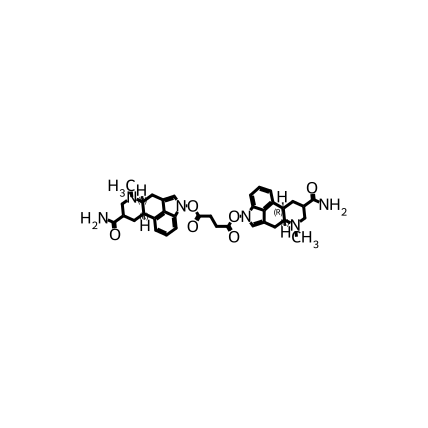 CN1CC(C(N)=O)C[C@@H]2c3cccc4c3c(cn4OC(=O)CCC(=O)On3cc4c5c(cccc53)[C@H]3CC(C(N)=O)CN(C)[C@@H]3C4)C[C@H]21